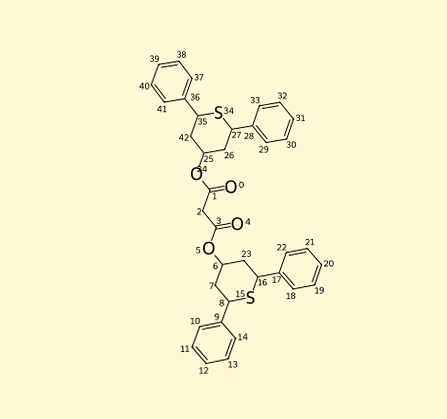 O=C(CC(=O)OC1CC(c2ccccc2)SC(c2ccccc2)C1)OC1CC(c2ccccc2)SC(c2ccccc2)C1